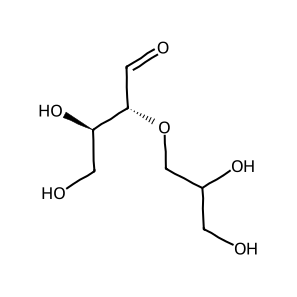 O=C[C@H](OCC(O)CO)[C@H](O)CO